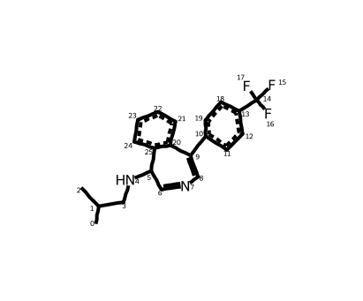 CC(C)CNC1C=NC=C(c2ccc(C(F)(F)F)cc2)c2ccccc21